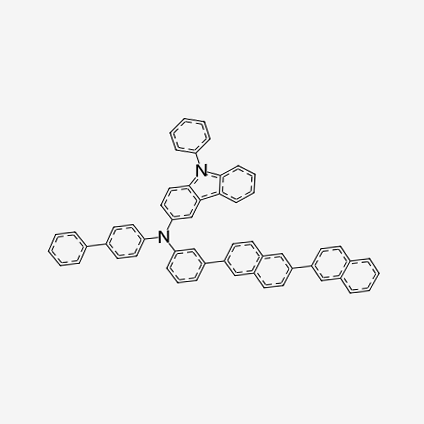 c1ccc(-c2ccc(N(c3cccc(-c4ccc5cc(-c6ccc7ccccc7c6)ccc5c4)c3)c3ccc4c(c3)c3ccccc3n4-c3ccccc3)cc2)cc1